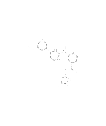 COc1cncc(-c2ccnc(Nc3cc(C(=O)Nc4nnc(C)s4)ccc3C)n2)c1